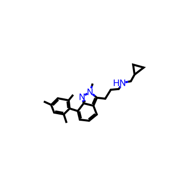 Cc1cc(C)c(-c2cccc3c(CCCNCC4CC4)n(C)nc23)c(C)c1